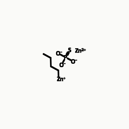 CCC[CH2][Zn+].[O-]P([O-])([O-])=S.[Zn+2]